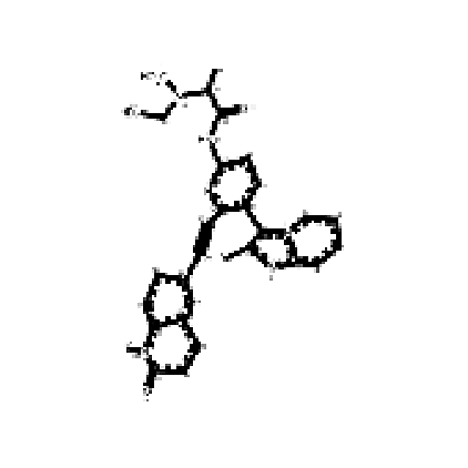 Cc1nc2ccccn2c1-c1ccc(NC(=O)C(C)N(CC(C)(C)C)C(=O)O)nc1C#Cc1ccc2c(ccc(=O)n2C)c1